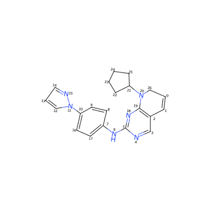 C1=Cc2cnc(Nc3ccc(-n4cccn4)cc3)nc2N(C2CCCC2)C1